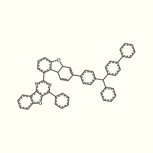 C1=CC2c3c(cccc3-c3nc(-c4ccccc4)c4oc5ccccc5c4n3)OC2C=C1c1ccc(C(c2ccccc2)c2ccc(-c3ccccc3)cc2)cc1